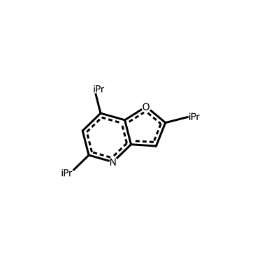 CC(C)c1cc(C(C)C)c2oc(C(C)C)cc2n1